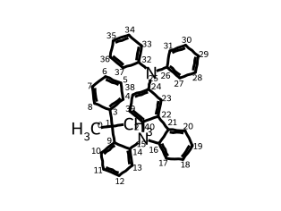 CC(C)(c1ccccc1)c1ccccc1-n1c2ccccc2c2cc(N(c3ccccc3)c3ccccc3)ccc21